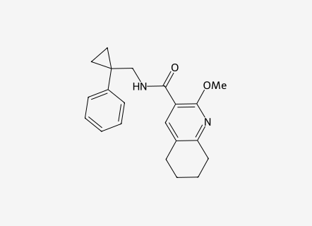 COc1nc2c(cc1C(=O)NCC1(c3ccccc3)CC1)CCCC2